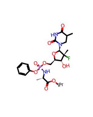 CC(C)OC(=O)[C@H](C)NP(=O)(OC[C@H]1O[C@@H](N2CC(C)C(=O)NC2=O)[C@](C)(F)[C@@H]1O)Oc1ccccc1